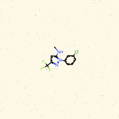 CNc1cc(C(F)(F)F)nn1-c1cccc(Cl)c1